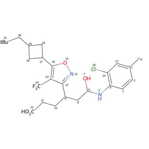 Cc1ccc(NC(O)CC(CCC(=O)O)c2noc(C3CC(CC(C)(C)C)C3)c2C(F)(F)F)c(Cl)c1